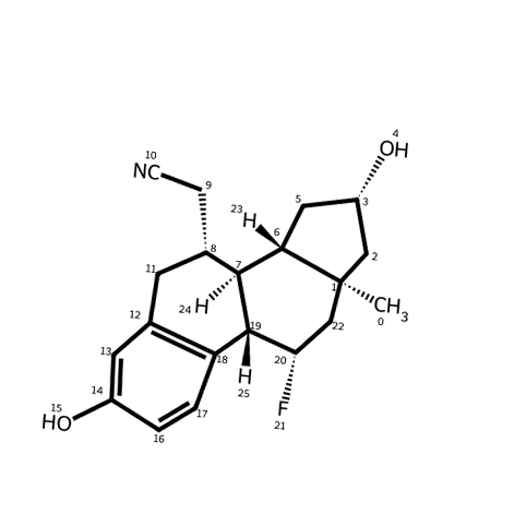 C[C@@]12C[C@@H](O)C[C@H]1[C@@H]1[C@@H](CC#N)Cc3cc(O)ccc3[C@H]1[C@@H](F)C2